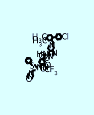 CC1(C)CCC(c2ccc(Cl)cc2)=C(CN2CCc3c(ncnc3NS(=O)(=O)c3ccc(N[C@H](CCN4CCOCC4)CSc4ccccc4)c(S(=O)(=O)C(F)(F)F)c3)C2)C1